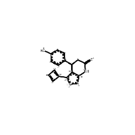 N#Cc1ccc(C2CC(=O)Nc3n[nH]c(C4=CC=C4)c32)cc1